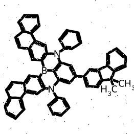 CC1(C)c2ccccc2-c2cc(-c3cc4c5c(c3)N(c3ccccc3)c3cc6c(ccc7ccccc76)cc3B5c3cc5ccc6ccccc6c5cc3N4c3ccccc3)ccc21